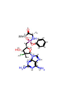 COC(=O)[C@H](C)NP(=O)(C[C@H]1O[C@@H](n2cnc3c(N)nc(N)nc32)[C@](C)(F)[C@@H]1O)Oc1ccccc1